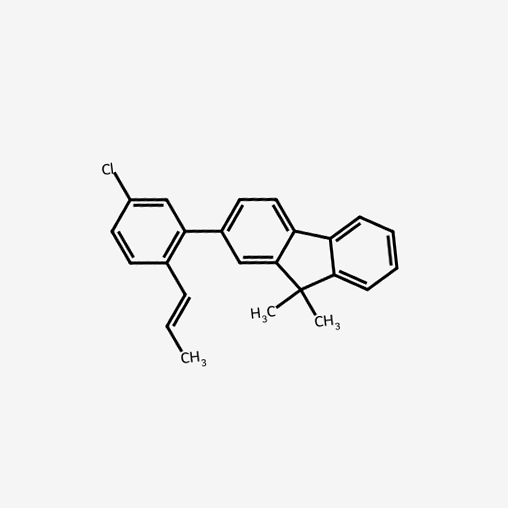 CC=Cc1ccc(Cl)cc1-c1ccc2c(c1)C(C)(C)c1ccccc1-2